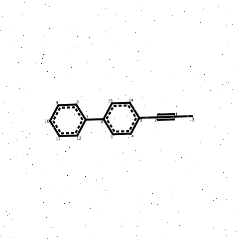 CC#Cc1ccc(-c2cc[c]cc2)cc1